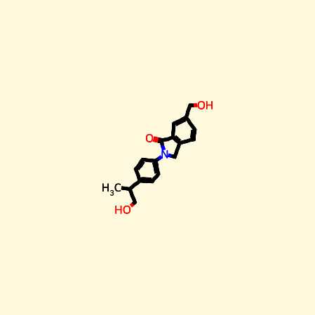 CC(CO)c1ccc(N2Cc3ccc(CO)cc3C2=O)cc1